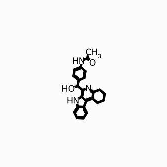 CC(=O)Nc1ccc(C(O)c2nc3c(c4c2[nH]c2ccccc24)CCCC3)cc1